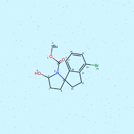 CC(C)(C)OC(=O)N1C(O)CCC12CCc1c(Br)cccc12